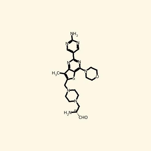 Cc1c(CN2CCN(C[C@@H](N)C=O)CC2)sc2c(N3CCOCC3)nc(-c3cnc(N)nc3)nc12